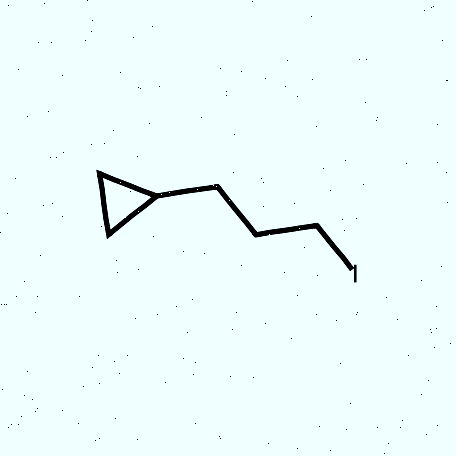 ICCCC1CC1